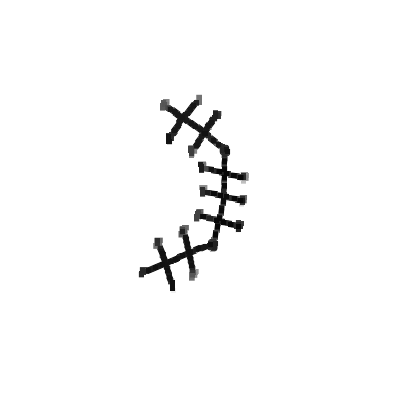 FC(F)(I)C(F)(F)OC(F)(F)C(F)(F)C(F)(F)OC(F)(F)C(F)(F)I